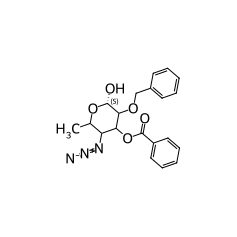 CC1O[C@H](O)C(OCc2ccccc2)C(OC(=O)c2ccccc2)C1N=[N+]=[N-]